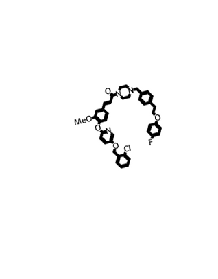 COc1cc(C=CC(=O)N2CCN(Cc3ccc(CCOc4ccc(F)cc4)cc3)CC2)ccc1Oc1ccc(OCc2ccccc2Cl)cn1